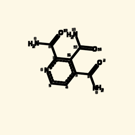 NC(=O)c1ccnc(C(N)=O)c1C(N)=O